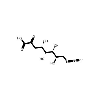 [N-]=[N+]=NC[C@@H](O)[C@@H](O)[C@H](O)[C@@H](O)CC(=O)C(=O)O